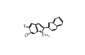 Cn1c(-c2ccc3ccccc3c2)cc2cc(F)c(Cl)cc21